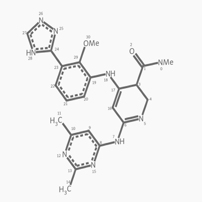 CNC(=O)C1CN=C(Nc2cc(C)nc(C)n2)C=C1Nc1cccc(-c2nnc[nH]2)c1OC